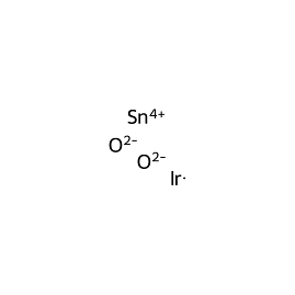 [Ir].[O-2].[O-2].[Sn+4]